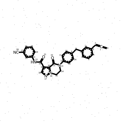 C=C=Cc1cccc(Cc2ccc(N3CCn4ncc(C(=O)Nc5cccc(C#N)c5)c4C3=O)cc2)c1